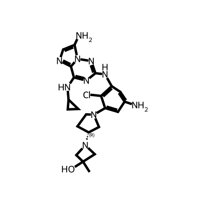 CC1(O)CN([C@@H]2CCN(c3cc(N)cc(Nc4nc(NC5CC5)c5ncc(N)n5n4)c3Cl)C2)C1